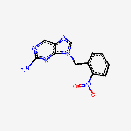 Nc1ncc2ncn(Cc3ccccc3[N+](=O)[O-])c2n1